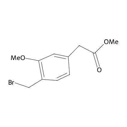 COC(=O)Cc1ccc(CBr)c(OC)c1